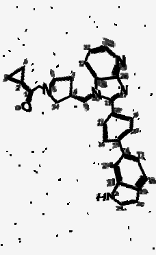 O=C(C1CC1)N1CC[C@@H](Cn2c(-c3ccc(-c4ccc5cc[nH]c5c4)cc3)nc3ncccc32)C1